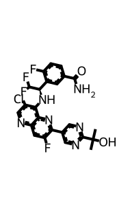 CC(C)(O)c1ncc(-c2nc3c(N[C@H](c4cc(C(N)=O)ccc4F)C(F)F)c(Cl)cnc3cc2F)cn1